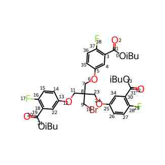 CC(C)COC(=O)c1cc(OCC(CBr)(COc2ccc(F)c(C(=O)OCC(C)C)c2)COc2ccc(F)c(C(=O)OCC(C)C)c2)ccc1F